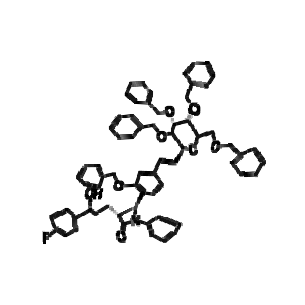 O=C1[C@H](CC[C@H](O)c2ccc(F)cc2)[C@@H](c2ccc(/C=C/[C@@H]3OC(COCc4ccccc4)[C@@H](OCc4ccccc4)[C@@H](OCc4ccccc4)C3OCc3ccccc3)cc2OCc2ccccc2)N1c1ccccc1